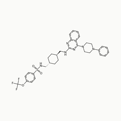 O=S(=O)(NC[C@H]1CC[C@H](CNc2nc(N3CCN(c4ccccc4)CC3)c3ccccc3n2)CC1)c1ccc(OC(F)(F)F)cc1